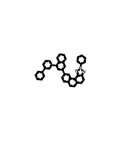 c1ccc(-c2cccc(-c3cc(-c4ccc5ccc6ccc7nn(-c8ccccc8)nc7c6c5c4)cc4ccccc34)c2)cc1